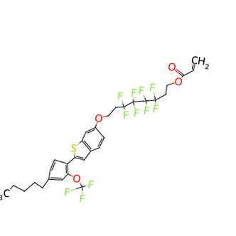 C=CC(=O)OCCC(F)(F)C(F)(F)C(F)(F)C(F)(F)CCOc1ccc2cc(-c3ccc(CCCCC)cc3OC(F)(F)F)sc2c1